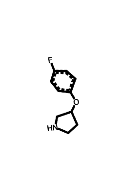 Fc1ccc(OC2CCNC2)cc1